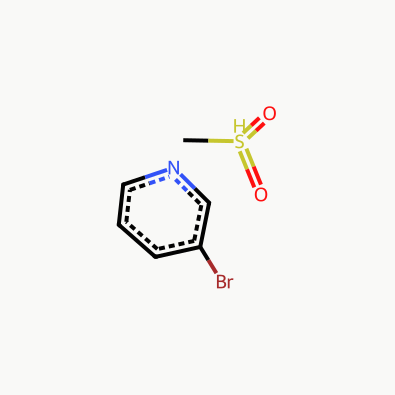 Brc1cccnc1.C[SH](=O)=O